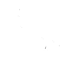 CC(C)N1C=CN(c2cccc(N3C=CN(C(C)C)[C@H]3C)c2)[C@H]1C